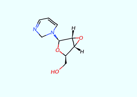 OC[C@H]1O[C@@H](N2C=CC=NC2)[C@@H]2O[C@@H]21